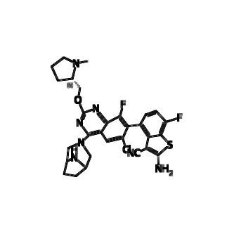 CN1CCC[C@H]1COc1nc(N2CC3CCC(C2)N3)c2cc(Cl)c(-c3ccc(F)c4sc(N)c(C#N)c34)c(F)c2n1